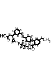 CCc1ccc(C(=O)NCC(F)(F)C(F)(F)F)c(N2CCC(COc3cccc(C(CC(=O)O)C4CC4)c3)CC2)c1